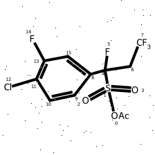 CC(=O)OS(=O)(=O)C(F)(CC(F)(F)F)c1ccc(Cl)c(F)c1